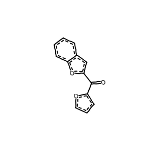 O=C(c1ccco1)c1cc2ccccc2o1